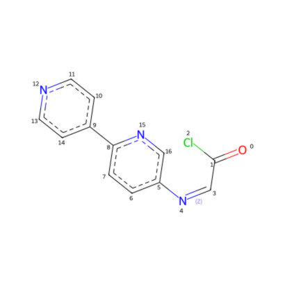 O=C(Cl)/C=N\c1ccc(-c2ccncc2)nc1